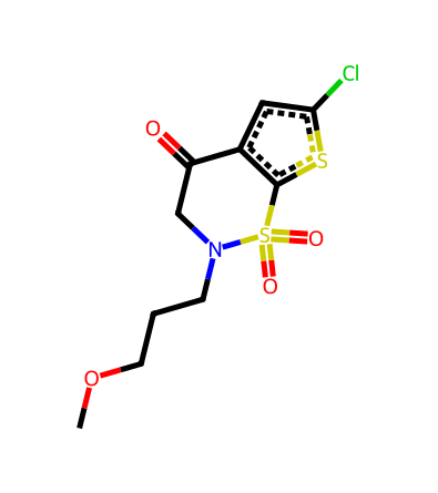 COCCCN1CC(=O)c2cc(Cl)sc2S1(=O)=O